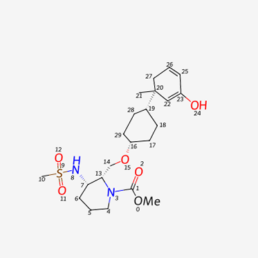 COC(=O)N1CCC[C@H](NS(C)(=O)=O)[C@@H]1CO[C@H]1CC[C@@H](C2(C)C=C(O)C=CC2)CC1